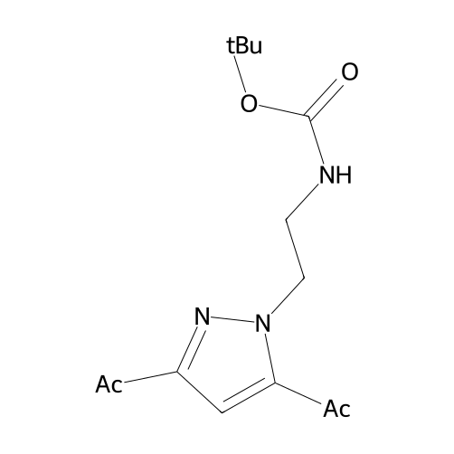 CC(=O)c1cc(C(C)=O)n(CCNC(=O)OC(C)(C)C)n1